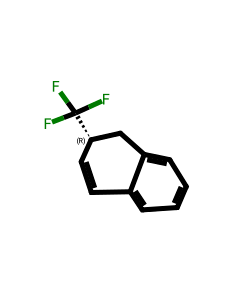 FC(F)(F)[C@H]1C=Cc2ccccc2C1